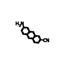 N#Cc1ccc2cc3ccc(N)cc3cc2c1